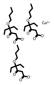 CCCCOC(CC)(CC)C(=O)CC(=O)[O-].CCCCOC(CC)(CC)C(=O)CC(=O)[O-].CCCCOC(CC)(CC)C(=O)CC(=O)[O-].[Ga+3]